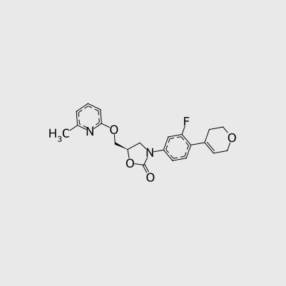 Cc1cccc(OC[C@H]2CN(c3ccc(C4=CCOCC4)c(F)c3)C(=O)O2)n1